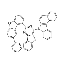 c1ccc(-c2ccc3oc4cccc(-c5nc(-n6c7ccccc7c7c8ccccc8ccc76)c6sc7ccccc7c6n5)c4c3c2)cc1